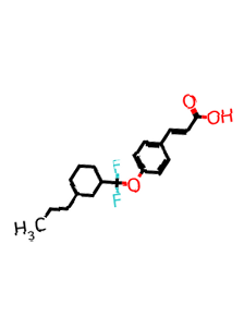 CCCC1CCCC(C(F)(F)Oc2ccc(C=CC(=O)O)cc2)C1